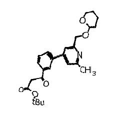 Cc1cc(-c2cccc(C(=O)CC(=O)OC(C)(C)C)c2)cc(COC2CCCCO2)n1